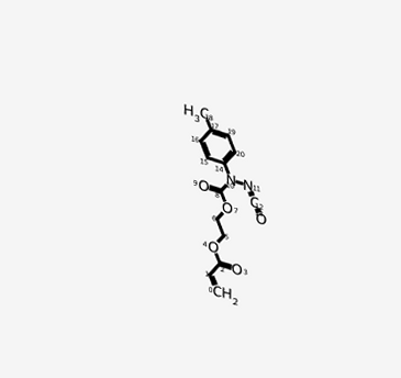 C=CC(=O)OCCOC(=O)N(N=C=O)c1ccc(C)cc1